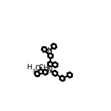 CC1(C)c2ccccc2-c2ccc(N(c3ccc(-c4cccc(-c5ccccc5)c4)cc3)c3ccc(-c4ccc5c(c4)c4ccccc4n5-c4ccccc4)c4ccccc34)cc21